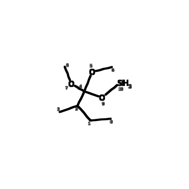 CCC(C)C(OC)(OC)O[SiH3]